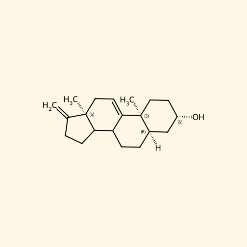 C=C1CCC2C3CC[C@@H]4C[C@@H](O)CC[C@]4(C)C3=CC[C@]12C